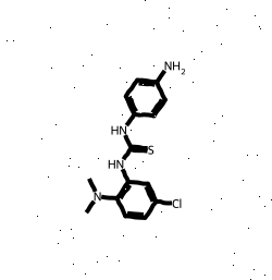 CN(C)c1ccc(Cl)cc1NC(=S)Nc1ccc(N)cc1